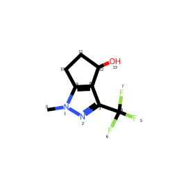 Cn1nc(C(F)(F)F)c2c1CCC2O